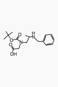 CC(CN(CC(=O)O)C(=O)OC(C)(C)C)NCc1ccccc1